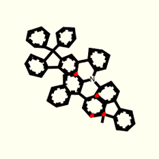 CC1(C)c2ccccc2-c2ccc(N(c3ccccc3-c3ccc4c(c3)C(c3ccccc3)(c3ccccc3)c3ccccc3-4)c3ccc4ccccc4c3-c3ccccc3)cc21